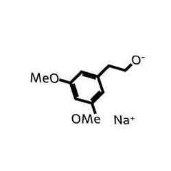 COc1cc(CC[O-])cc(OC)c1.[Na+]